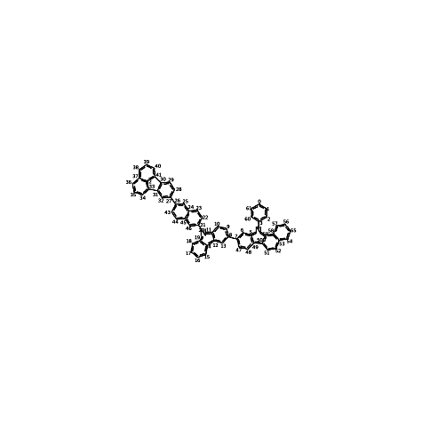 c1ccc(-n2c3cc(-c4ccc5c(c4)c4ccccc4n5-c4ccc5cc(-c6ccc7c(c6)-c6cccc8cccc-7c68)ccc5c4)ccc3c3ccc4ccccc4c32)cc1